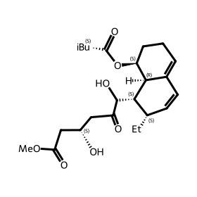 CC[C@H]1C=CC2=CCC[C@H](OC(=O)[C@@H](C)CC)[C@@H]2[C@H]1C(O)C(=O)C[C@H](O)CC(=O)OC